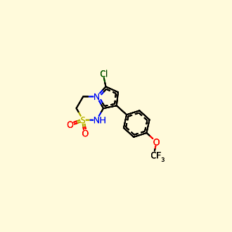 O=S1(=O)CCn2c(Cl)cc(-c3ccc(OC(F)(F)F)cc3)c2N1